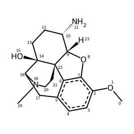 COc1ccc2c3c1O[C@H]1[C@@H](N)CC[C@@]4(O)C(C2)N(C)CC[C@]314